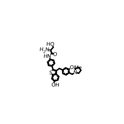 COc1cc(Cc2c(-c3ccc(NC(=O)[C@@H](N)CO)cc3)sc3cc(O)ccc23)ccc1CN1CCCC1